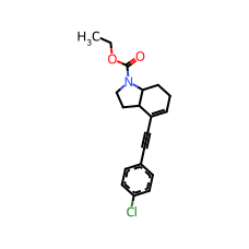 CCOC(=O)N1CCC2C(C#Cc3ccc(Cl)cc3)=CCCC21